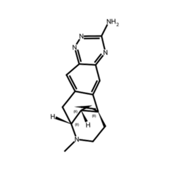 CN1CC[C@]23CCCC[C@H]2[C@H]1Cc1cc2nnc(N)nc2cc13